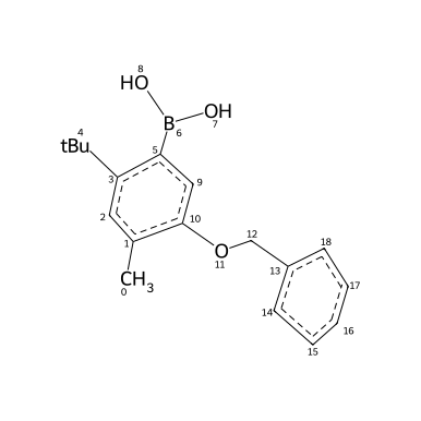 Cc1cc(C(C)(C)C)c(B(O)O)cc1OCc1ccccc1